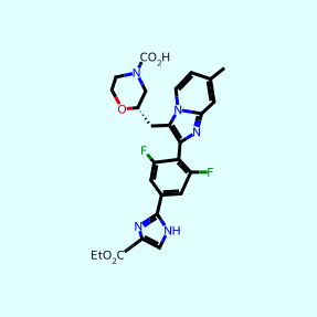 CCOC(=O)c1c[nH]c(-c2cc(F)c(-c3nc4cc(C)ccn4c3C[C@H]3CN(C(=O)O)CCO3)c(F)c2)n1